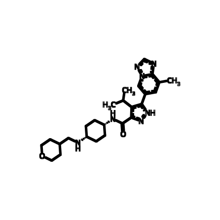 Cc1cc(-c2[nH]nc(C(=O)N[C@H]3CC[C@@H](NCC4CCOCC4)CC3)c2C(C)C)cn2ncnc12